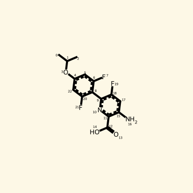 CC(C)Oc1cc(F)c(-c2nc(C(=O)O)c(N)cc2F)c(F)c1